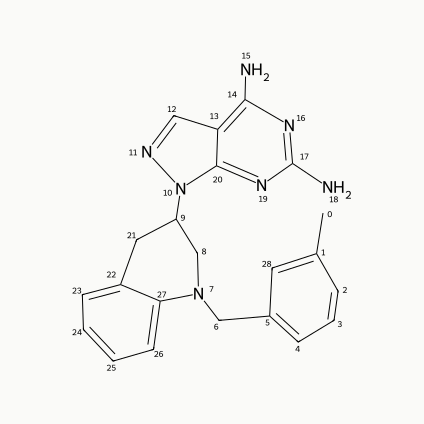 Cc1cccc(CN2CC(n3ncc4c(N)nc(N)nc43)Cc3ccccc32)c1